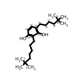 CC(C)(C)CCCCCc1c(O)ccc(CCCCC(C)(C)C)c1O